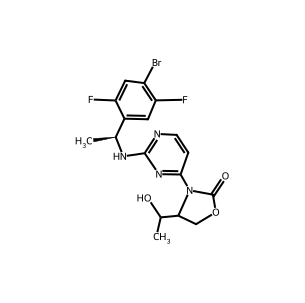 CC(O)C1COC(=O)N1c1ccnc(N[C@@H](C)c2cc(F)c(Br)cc2F)n1